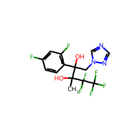 CC(O)(C(O)(Cn1cncn1)c1ccc(F)cc1F)C(F)(F)C(F)(F)F